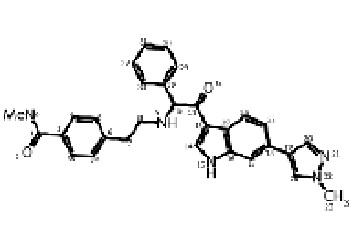 CNC(=O)c1ccc(CCNC(C(=O)c2c[nH]c3cc(-c4cnn(C)c4)ccc23)c2ccccc2)cc1